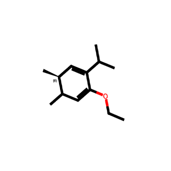 CCOC1=CC(C)[C@@H](C)C=C1C(C)C